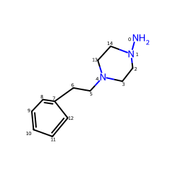 NN1CCN(CCc2ccccc2)CC1